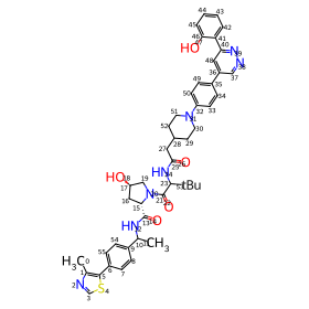 Cc1ncsc1-c1ccc(C(C)NC(=O)[C@@H]2C[C@@H](O)CN2C(=O)C(NC(=O)CC2CCN(c3ccc(-c4cnnc(-c5ccccc5O)c4)cc3)CC2)C(C)(C)C)cc1